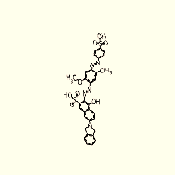 COc1cc(N=Nc2ccc(S(=O)(=O)O)cc2)c(C)cc1N=Nc1c(S(=O)(=O)O)cc2cc(N3Cc4ccccc4C3)ccc2c1O